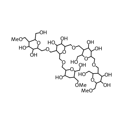 COCC1CC(O)C(COCC2OC(COCC3C(CO)OC(COCC4C(CO)OC(COC)C(O)C4O)C(O)C3O)C(O)C(O)C2COCC2OC(CO)C(COC)C(O)C2O)OC1CO